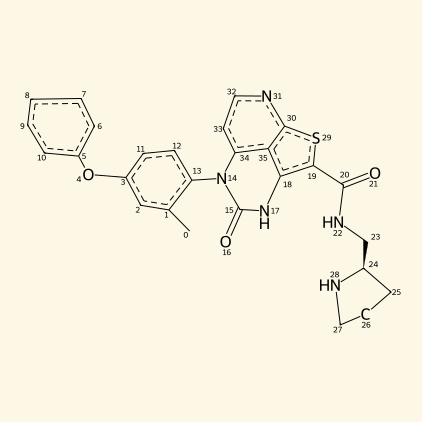 Cc1cc(Oc2ccccc2)ccc1N1C(=O)Nc2c(C(=O)NC[C@H]3CCCN3)sc3nccc1c23